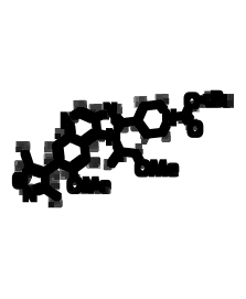 COCC(C)n1c(C2CCN(C(=O)OC(C)(C)C)CC2)nc2cnc3cc(-c4c(C)noc4C)c(OC)cc3c21